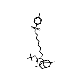 Cc1ccc(S(=O)(=O)OCCCCCCCN(C(=O)OC(C)(C)C)C23CC4C[C@@](C)(C2)C[C@](C)(C4)C3)cc1